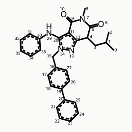 CC(C)CC1C(=O)N(C)C(=O)c2c1nn(Cc1ccc(-c3ccccc3)cc1)c2Nc1ccccc1